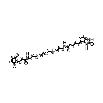 O=C(CCCCC1SCC2NC(=O)NC21)NCCCOCCOCCOCCCNC(=O)CCN1C(=O)C=CC1=O